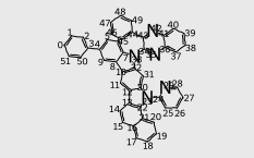 c1ccc(-c2ccc3c(c2)c2cc4c5ccc6ccccc6c5n(-c5ccccn5)c4cc2n3-c2nc3ccccc3nc2-c2ccccc2)cc1